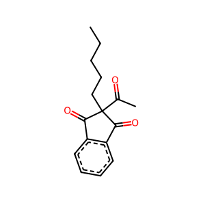 CCCCCC1(C(C)=O)C(=O)c2ccccc2C1=O